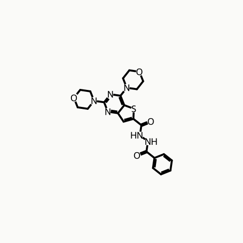 O=C(NNC(=O)c1cc2nc(N3CCOCC3)nc(N3CCOCC3)c2s1)c1ccccc1